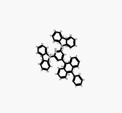 c1ccc(-c2c3ccccc3c(-c3cc(-n4c5ccccc5c5ccccc54)nc(-n4c5ccccc5c5ccccc54)c3)c3ccccc23)cc1